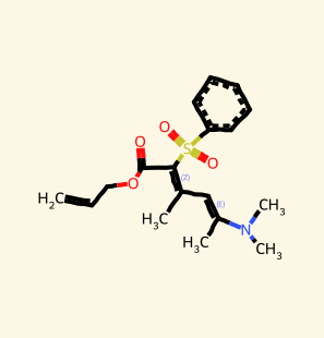 C=CCOC(=O)/C(=C(C)/C=C(\C)N(C)C)S(=O)(=O)c1ccccc1